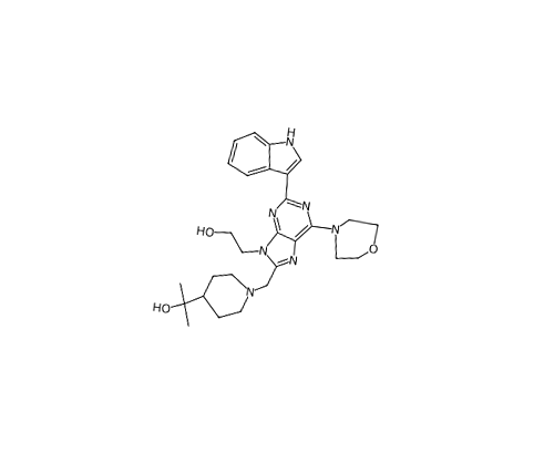 CC(C)(O)C1CCN(Cc2nc3c(N4CCOCC4)nc(-c4c[nH]c5ccccc45)nc3n2CCO)CC1